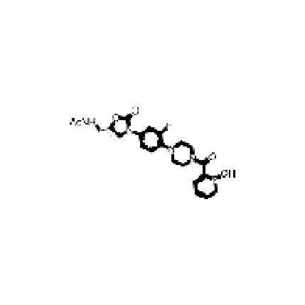 CC(=O)NC[C@H]1CN(c2ccc(N3CCN(C(=O)C4=CC=CCP4O)CC3)c(F)c2)C(=O)O1